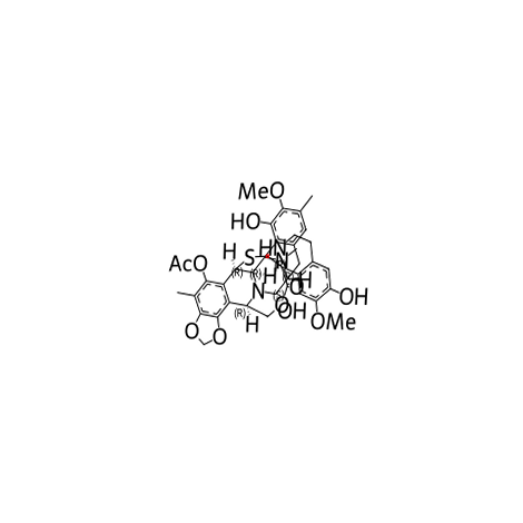 COc1cc2c(cc1O)CCN[C@]21CS[C@@H]2c3c(OC(C)=O)c(C)c4c(c3[C@H](COC1=O)N1[C@@H]2C2c3c(cc(C)c(OC)c3O)C[C@H]([C@@H]1O)N2C)OCO4